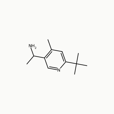 Cc1cc(C(C)(C)C)ncc1C(C)N